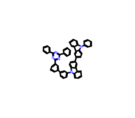 c1ccc(-c2nc(-c3ccccc3)nc(-c3cccc(-c4cccc(-n5c6ccccc6c6cc(-c7ccc8c(c7)c7ccccc7n8-c7ccccc7)ccc65)c4)c3)n2)cc1